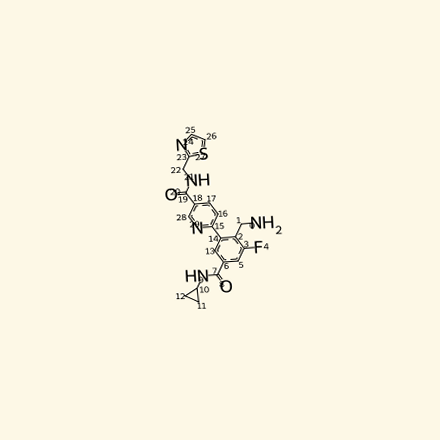 NCc1c(F)cc(C(=O)NC2CC2)cc1-c1ccc(C(=O)NCc2nccs2)cn1